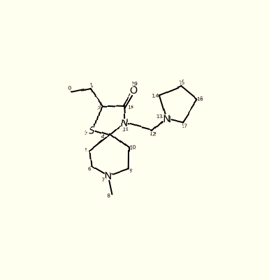 CCC1SC2(CCN(C)CC2)N(CN2CCCC2)C1=O